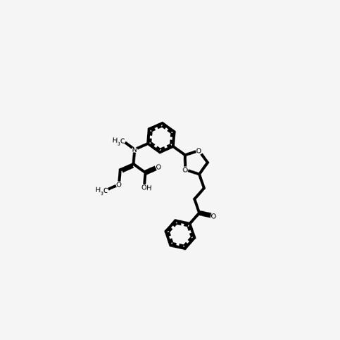 COC=C(C(=O)O)N(C)c1cccc(C2OCC(CCC(=O)c3ccccc3)O2)c1